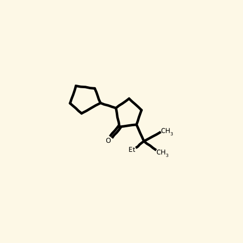 CCC(C)(C)C1CCC(C2CCCC2)C1=O